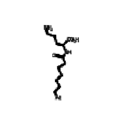 CC(=O)CCCCCCC(=O)N[C@@H](CCCN)C(=O)O